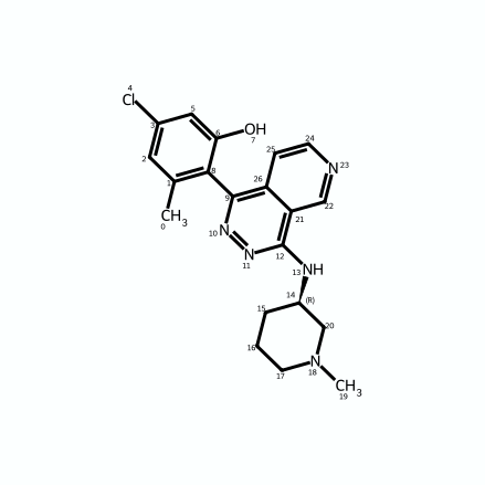 Cc1cc(Cl)cc(O)c1-c1nnc(N[C@@H]2CCCN(C)C2)c2cnccc12